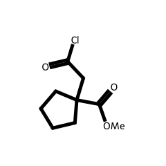 COC(=O)C1(CC(=O)Cl)CCCC1